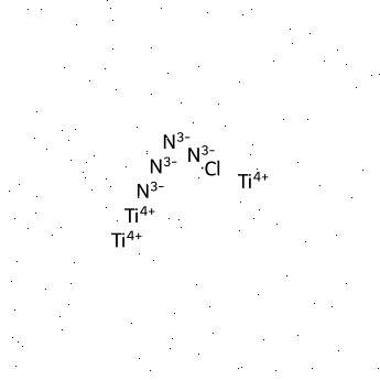 [Cl].[N-3].[N-3].[N-3].[N-3].[Ti+4].[Ti+4].[Ti+4]